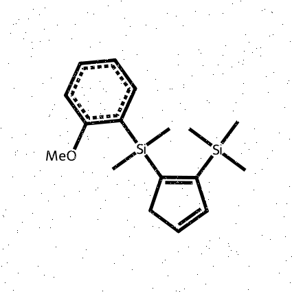 COc1ccccc1[Si](C)(C)C1=C([Si](C)(C)C)C=CC1